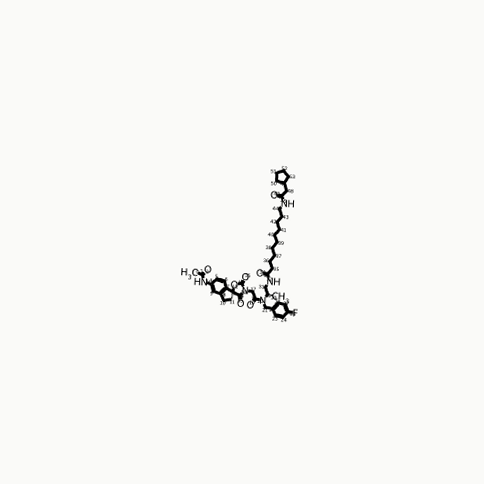 CC(=O)Nc1ccc2c(c1)CC[C@@]21OC(=O)N(CC(=O)N(Cc2ccc(F)cc2)[C@@H](C)CNC(=O)CCCCCCCCCCNC(=O)CC2CCCC2)C1=O